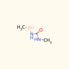 CBNC(=O)NC